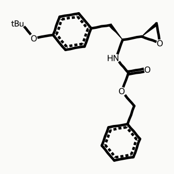 CC(C)(C)Oc1ccc(C[C@H](NC(=O)OCc2ccccc2)[C@H]2CO2)cc1